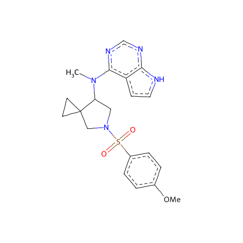 COc1ccc(S(=O)(=O)N2CC(N(C)c3ncnc4[nH]ccc34)C3(CC3)C2)cc1